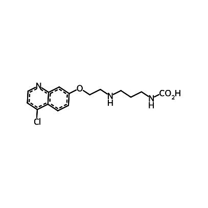 O=C(O)NCCCNCCOc1ccc2c(Cl)ccnc2c1